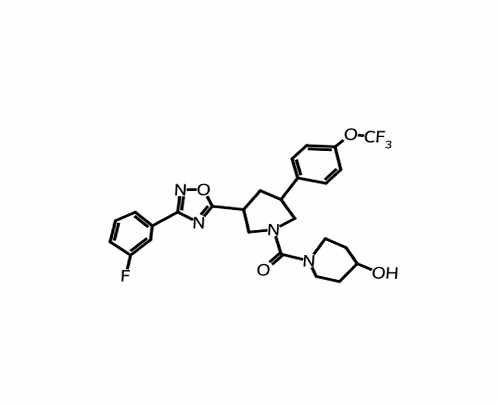 O=C(N1CCC(O)CC1)N1CC(c2ccc(OC(F)(F)F)cc2)CC(c2nc(-c3cccc(F)c3)no2)C1